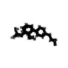 COCCN1CCC(c2cccc(OC(F)F)c2N)CC1